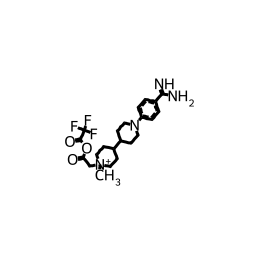 C[N+]1(CC(=O)OC(=O)C(F)(F)F)CCC(C2CCN(c3ccc(C(=N)N)cc3)CC2)CC1